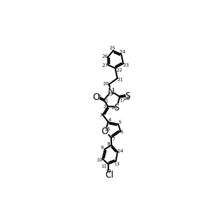 O=C1C(=Cc2ccc(-c3ccc(Cl)cc3)o2)SC(=S)N1CCc1ccccc1